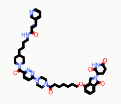 O=C(/C=C/c1cccnc1)NCCCCC1CCN(C(=O)c2ccc(N3CCN(C(=O)CCCCCCOc4cccc5c4CN(C4CCC(=O)NC4=O)C5=O)CC3)nn2)CC1